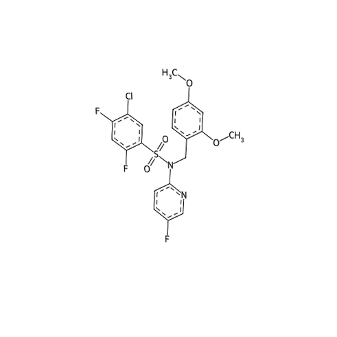 COc1ccc(CN(c2ccc(F)cn2)S(=O)(=O)c2cc(Cl)c(F)cc2F)c(OC)c1